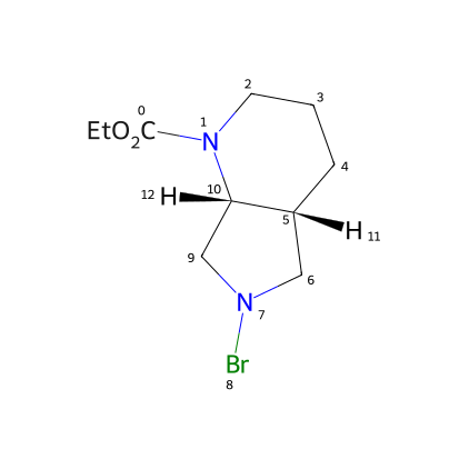 CCOC(=O)N1CCC[C@@H]2CN(Br)C[C@@H]21